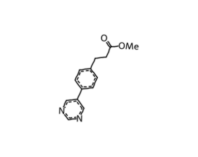 COC(=O)CCc1ccc(-c2cncnc2)cc1